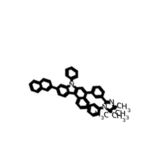 CC1(C)N=C(c2cccc(-c3cc4c(c5ccccc35)c3ccc(-c5ccc6ccccc6c5)cc3n4-c3ccccc3)c2)N(c2ccccc2)C1(C)C